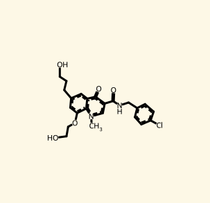 Cn1cc(C(=O)NCc2ccc(Cl)cc2)c(=O)c2cc(CCCO)cc(OCCO)c21